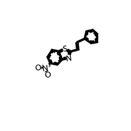 O=[N+]([O-])c1ccc2sc(/C=C/c3ccccc3)nc2c1